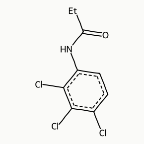 CCC(=O)Nc1ccc(Cl)c(Cl)c1Cl